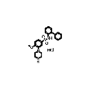 COc1ccc(S(=O)(=O)Nc2ccccc2-c2ccccc2)cc1N1CCNCC1.Cl